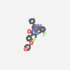 Cc1c(-c2cccc(OC3CCOCC3)c2F)c(=O)n(C[C@H](N)c2ccccc2)c(=O)n1Cc1c(F)cccc1C(F)(F)F